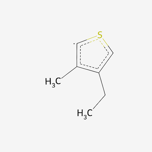 CCc1cs[c]c1C